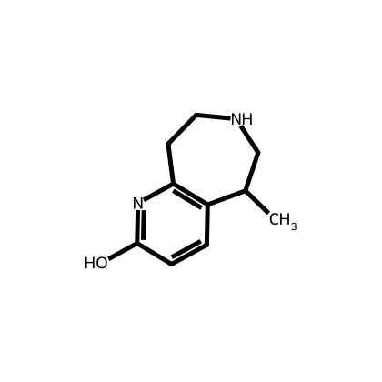 CC1CNCCc2nc(O)ccc21